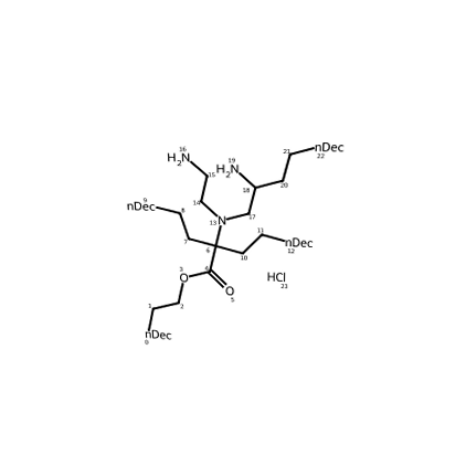 CCCCCCCCCCCCOC(=O)C(CCCCCCCCCCCC)(CCCCCCCCCCCC)N(CCN)CC(N)CCCCCCCCCCCC.Cl